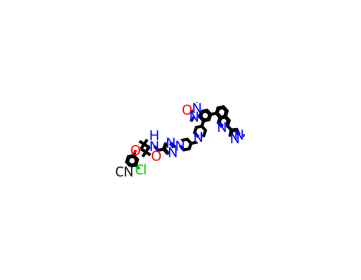 Cn1cc(-c2cc3cccc(-c4cc(C5CCN(CC6CCN(c7ncc(C(=O)NC8C(C)(C)C(Oc9ccc(C#N)c(Cl)c9)C8(C)C)cn7)CC6)CC5)c5c(c4)n(C)c(=O)n5C)c3cn2)cn1